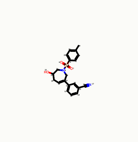 Cc1ccc(S(=O)(=O)N2CC(c3cccc(C#N)c3)=CCC(O)C2)cc1